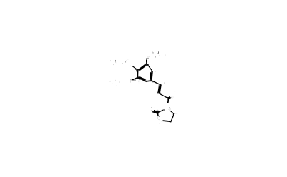 COc1cc(C=CC(=O)N2CCSC2=S)cc(OC)c1OC